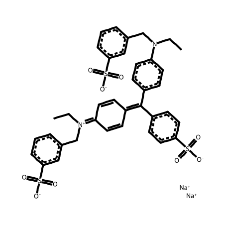 CCN(Cc1cccc(S(=O)(=O)[O-])c1)c1ccc(C(=C2C=CC(=[N+](CC)Cc3cccc(S(=O)(=O)[O-])c3)C=C2)c2ccc(S(=O)(=O)[O-])cc2)cc1.[Na+].[Na+]